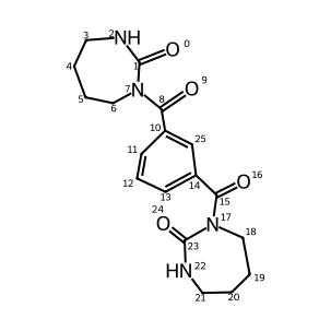 O=C1NCCCCN1C(=O)c1cccc(C(=O)N2CCCCNC2=O)c1